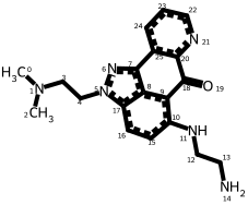 CN(C)CCn1nc2c3c(c(NCCN)ccc31)C(=O)c1ncccc1-2